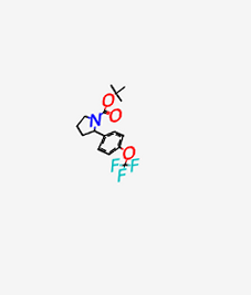 CC(C)(C)OC(=O)N1CCCC1c1ccc(OC(F)(F)F)cc1